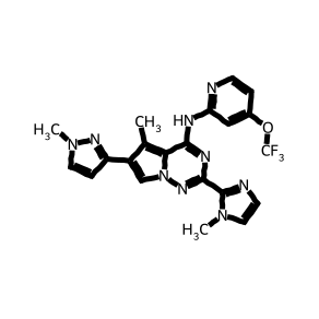 Cc1c(-c2ccn(C)n2)cn2nc(-c3nccn3C)nc(Nc3cc(OC(F)(F)F)ccn3)c12